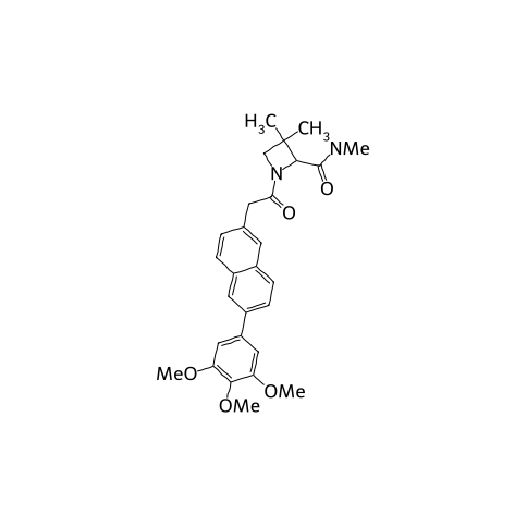 CNC(=O)C1N(C(=O)Cc2ccc3cc(-c4cc(OC)c(OC)c(OC)c4)ccc3c2)CC1(C)C